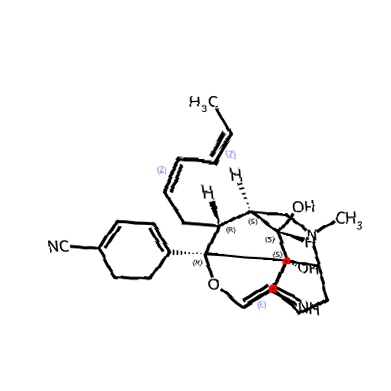 C/C=C\C=C/C[C@@H]1[C@H]2CN(C)C3CC/C(=C4\O[C@]1(C1=CC=C(C#N)CC1)[C@](O)(C4=N)[C@H]2O)C3